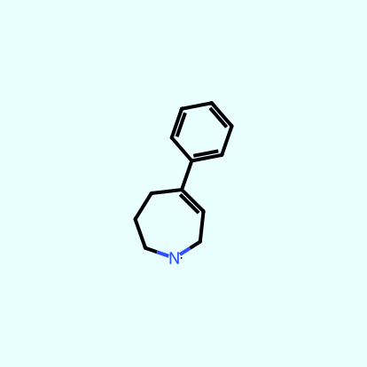 C1=C(c2ccccc2)CCC[N]C1